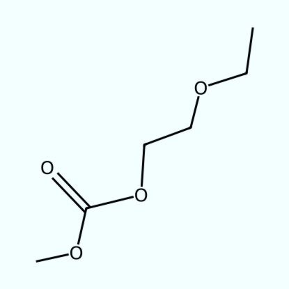 CCOCCOC(=O)OC